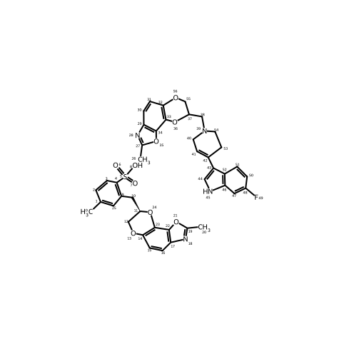 Cc1ccc(S(=O)(=O)O)c(C[C@@H]2COc3ccc4nc(C)oc4c3O2)c1.Cc1nc2ccc3c(c2o1)OC(CN1CC=C(c2c[nH]c4cc(F)ccc24)CC1)CO3